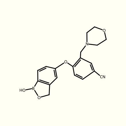 N#Cc1ccc(Oc2ccc3c(c2)COB3O)c(CN2CCOCC2)c1